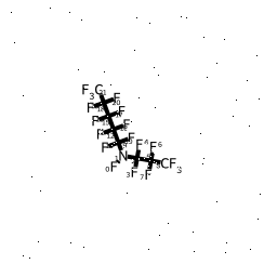 FN(C(F)(F)C(F)(F)C(F)(F)F)C(F)(F)C(F)(F)C(F)(F)C(F)(F)C(F)(F)F